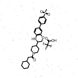 CS(=O)(=O)c1ccc(-c2ccc3c(c2)OCC(C2CCN(C(=O)CC4CCCCC4)CC2)N3)cc1.O=C(O)C(F)(F)F